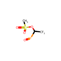 CS(=O)(=O)OC(P=O)C(F)(F)F